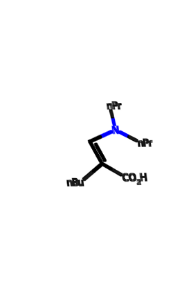 CCCCC(=CN(CCC)CCC)C(=O)O